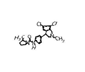 CC1CCCN1C(=O)Nc1ccc(C2CN(C)Cc3c(Cl)cc(Cl)cc32)cc1